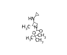 C[C@@H]1[C@@H](NC2CC2)CN1C(=O)OC(C)(C)C